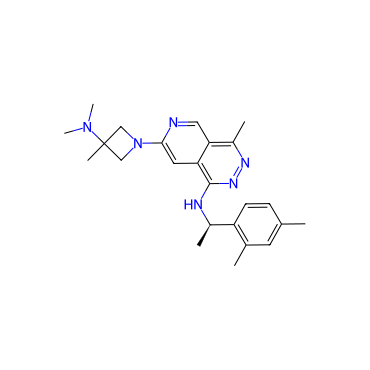 Cc1ccc([C@@H](C)Nc2nnc(C)c3cnc(N4CC(C)(N(C)C)C4)cc23)c(C)c1